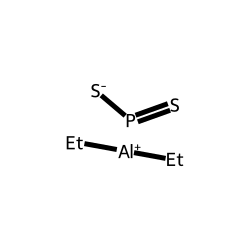 C[CH2][Al+][CH2]C.S=P[S-]